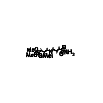 CO[Si](CCCNCCCS(N)(=O)=O)(OC)OC